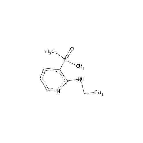 CCNc1ncccc1P(C)(C)=O